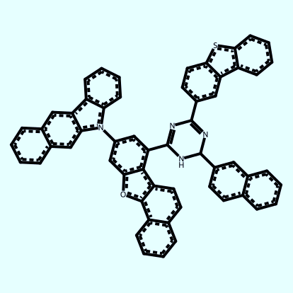 c1ccc2cc(C3N=C(c4ccc5sc6ccccc6c5c4)N=C(c4cc(-n5c6ccccc6c6cc7ccccc7cc65)cc5oc6c7ccccc7ccc6c45)N3)ccc2c1